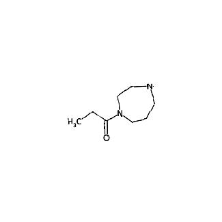 CCC(=O)N1CCC[N]CC1